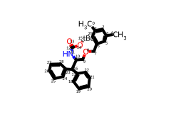 Cc1cc(C)cc(COCC(NC(=O)OC(C)(C)C)C(c2ccccc2)c2ccccc2)c1